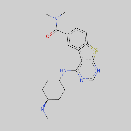 CN(C)C(=O)c1ccc2sc3ncnc(N[C@H]4CC[C@H](N(C)C)CC4)c3c2c1